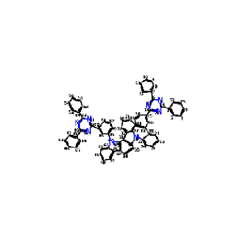 c1ccc(-c2nc(-c3ccccc3)nc(-c3cccc(-c4ccccc4-n4c5ccccc5c5c4ccc4c6ccccc6n(-c6cccc(-c7nc(-c8ccccc8)nc(-c8ccccc8)n7)c6)c45)c3)n2)cc1